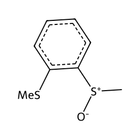 [CH2]Sc1ccccc1[S+](C)[O-]